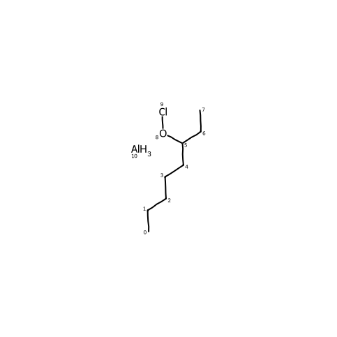 CCCCCC(CC)OCl.[AlH3]